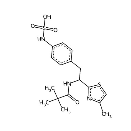 Cc1csc(C(Cc2[c]cc(NS(=O)(=O)O)cc2)NC(=O)C(C)(C)C)n1